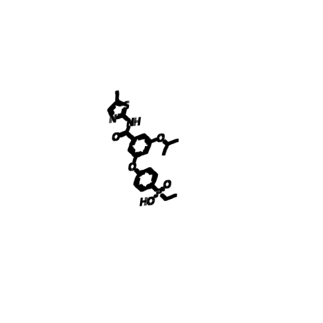 CCP(=O)(O)c1ccc(Oc2cc(OC(C)C)cc(C(=O)Nc3ncc(C)s3)c2)cc1